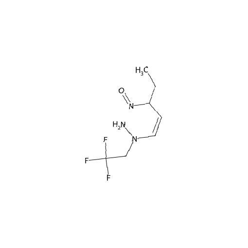 CCC(/C=C\N(N)CC(F)(F)F)N=O